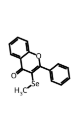 C[Se]c1c(-c2ccccc2)oc2ccccc2c1=O